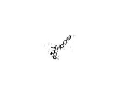 CC#Cc1cnc(Nc2cc(C)c(N3CCC(N4CCN(C)CC4)CC3)cc2OC)nc1Nc1ccc2nccnc2c1P(C)(C)=O